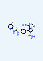 CNC(=O)c1cn2ncnc(N)c2c1-c1ccc(NC(=O)Nc2cc(C)ccn2)cc1